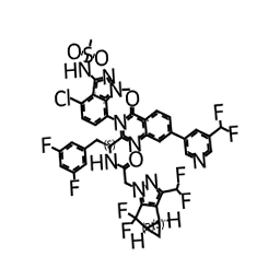 Cn1nc(NS(C)(=O)=O)c2c(Cl)ccc(-n3c([C@H](Cc4cc(F)cc(F)c4)NC(=O)Cn4nc(C(F)F)c5c4C(F)(F)[C@@H]4C[C@H]54)nc4cc(-c5cncc(C(F)F)c5)ccc4c3=O)c21